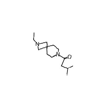 CCN1CC2(CCN(C(=O)CC(C)C)CC2)C1